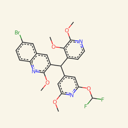 COc1cc(C(c2cc3cc(Br)ccc3nc2OC)c2ccnc(OC)c2OC)cc(OC(F)F)n1